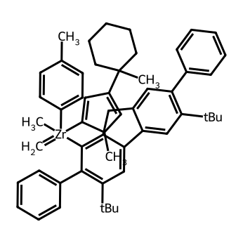 [CH2]=[Zr]([CH3])([C]1=CC(C2(C)CCCCC2)=CC1C)([c]1ccc(C)cc1)[c]1c2c(cc(C(C)(C)C)c1-c1ccccc1)-c1cc(C(C)(C)C)c(-c3ccccc3)cc1C2